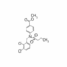 CCCS(=O)(=O)N(Cc1cccc(Cl)c1Cl)c1ccc(C(=O)OC)cc1